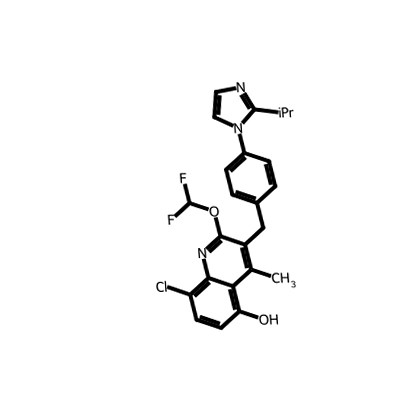 Cc1c(Cc2ccc(-n3ccnc3C(C)C)cc2)c(OC(F)F)nc2c(Cl)ccc(O)c12